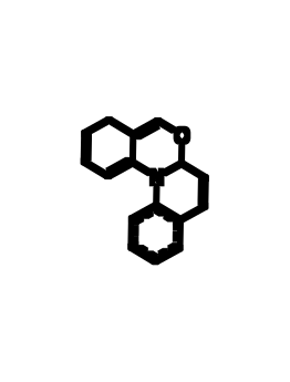 C1=CCC2=COC3C=Cc4ccccc4N3C2=C1